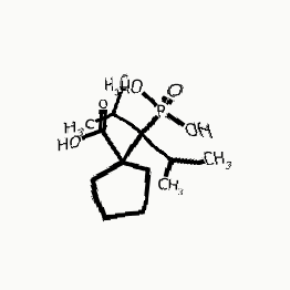 CC(C)C(C(C)C)(C1(C(=O)O)CCCC1)P(=O)(O)O